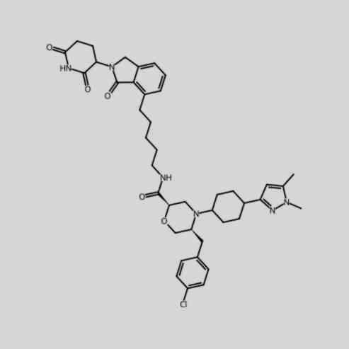 Cc1cc(C2CCC(N3C[C@H](C(=O)NCCCCCc4cccc5c4C(=O)N(C4CCC(=O)NC4=O)C5)OC[C@@H]3Cc3ccc(Cl)cc3)CC2)nn1C